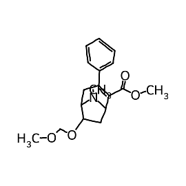 COCOC1CC2C(C(=O)OC)=C(c3ccccc3)CC1N2C